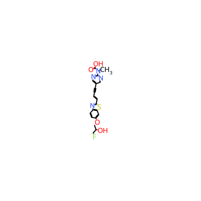 CN(C(=O)O)c1ncc(C#C/C=C/c2nc3ccc(OCC(O)CF)cc3s2)cn1